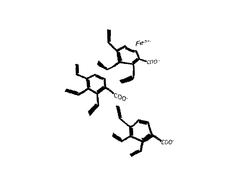 C=Cc1ccc(C(=O)[O-])c(C=C)c1C=C.C=Cc1ccc(C(=O)[O-])c(C=C)c1C=C.C=Cc1ccc(C(=O)[O-])c(C=C)c1C=C.[Fe+3]